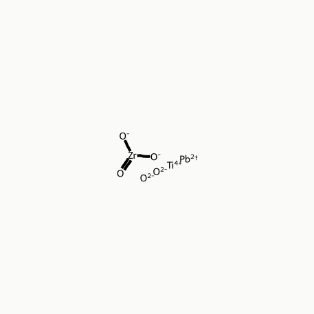 [O-2].[O-2].[O]=[Zr]([O-])[O-].[Pb+2].[Ti+4]